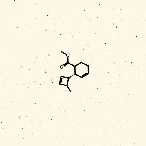 COC(=O)C1CCC=C[C@H]1C1C=CC1C